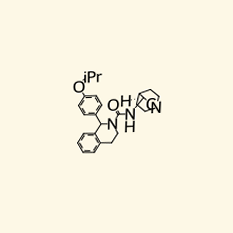 CC(C)Oc1ccc(C2c3ccccc3CCN2C(=O)N[C@@H]2CN3CCC2CC3)cc1